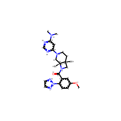 COc1ccc(-n2nccn2)c(C(=O)N2C[C@H]3CCN(c4cc(N(C)C)ncn4)C[C@H]32)c1